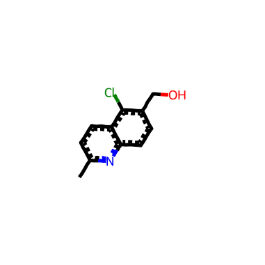 Cc1ccc2c(Cl)c(CO)ccc2n1